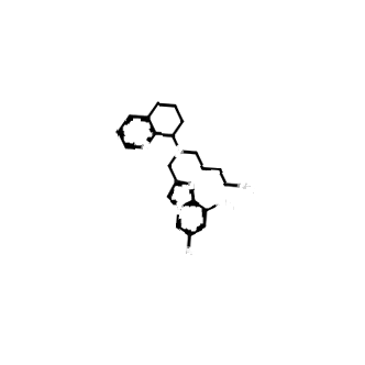 Cc1cc(Br)cn2cc(CN(CCCCN)C3CCCc4cccnc43)nc12